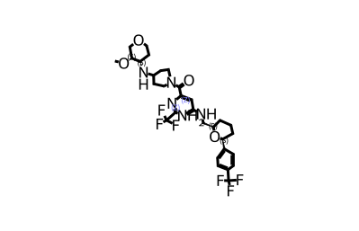 C=C(/C=C(\N=C(/N)C(F)(F)F)C(=O)N1CCC(N[C@H]2CCOC[C@H]2OC)CC1)NC[C@H]1CCC[C@@H](c2ccc(C(F)(F)F)cc2)O1